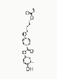 C=CC(=O)OCCCCOc1ccc(C(=O)Oc2ccc(O)c(C)c2)cc1